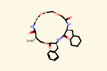 CC(=O)N[C@H]1CSC(=O)[C@H](Cc2ccccc2)NC(=O)[C@H](CC2CCCCC2)NC(=O)COCCOCCNC1=O